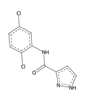 O=C(Nc1cc(Cl)ccc1Cl)c1cc[nH]n1